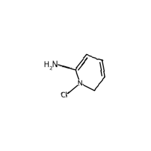 NC1=CC=CCN1Cl